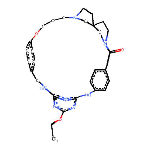 O=C1c2ccc(cc2)Nc2nc(nc(OCC(F)(F)F)n2)NCc2ccc(cc2)OCCCN2CCC3(CCN1C3)C2